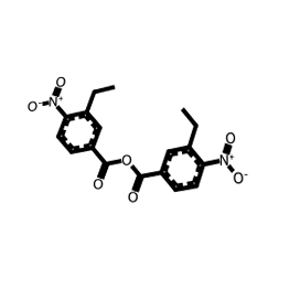 CCc1cc(C(=O)OC(=O)c2ccc([N+](=O)[O-])c(CC)c2)ccc1[N+](=O)[O-]